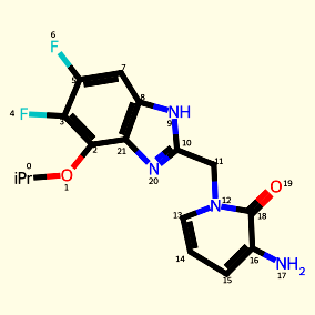 CC(C)Oc1c(F)c(F)cc2[nH]c(Cn3cccc(N)c3=O)nc12